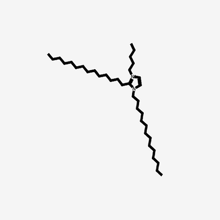 CCCCCCCCCCCCCCc1n(CCCCCCCCCCCCCC)cc[n+]1CCCCC